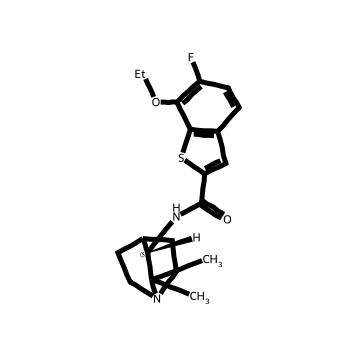 CCOc1c(F)ccc2cc(C(=O)N[C@H]3C4CCN(CC4)C3(C)C)sc12